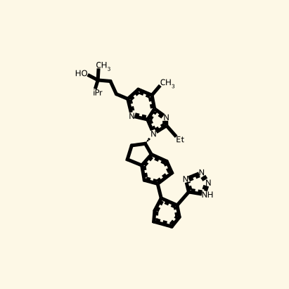 CCc1nc2c(C)cc(CCC(C)(O)C(C)C)nc2n1[C@H]1CCc2cc(-c3ccccc3-c3nnn[nH]3)ccc21